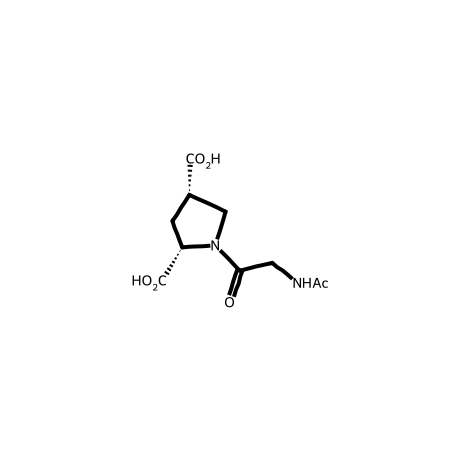 CC(=O)NCC(=O)N1C[C@@H](C(=O)O)C[C@H]1C(=O)O